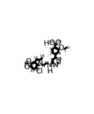 CCOc1cc(-c2cc(NCCn3c(C)cc4c5c(cc(Cl)c43)OCO5)ncn2)ccc1C(=O)O